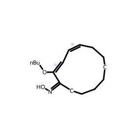 CCCCO/C1=C\C=C/CCCCCCCC1=NO